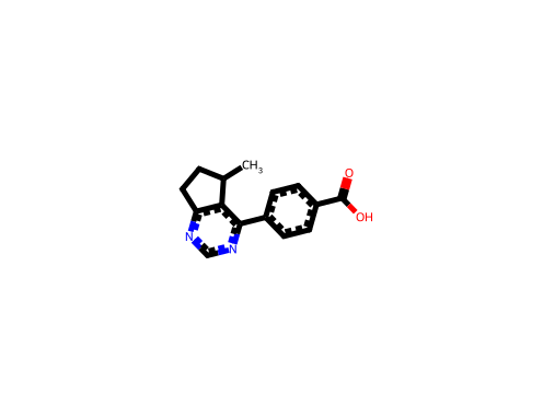 CC1CCc2ncnc(-c3ccc(C(=O)O)cc3)c21